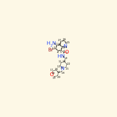 Nc1c(Br)cc(C(=O)NCC2CCN(CC3CCOCC3)CC2)c2ncccc12